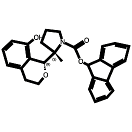 C[C@@]1([C@@H]2OCCc3cccc(O)c32)CCCN1C(=O)OC1c2ccccc2-c2ccccc21